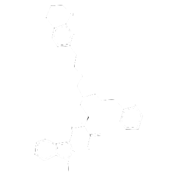 Cn1nc(N[C@@H](CCN(CCCCc2ccc3c(n2)NCCC3)CCOc2ccccn2)C(=O)O)c2ccccc21